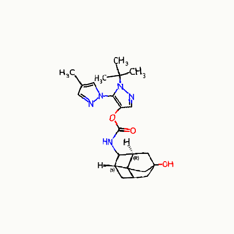 Cc1cnn(-c2c(OC(=O)NC3[C@@H]4CC5C[C@H]3CC(O)(C5)C4)cnn2C(C)(C)C)c1